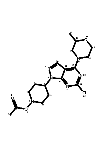 CC(=O)ON1CCC(n2ncc3c(N4CCOC(C)C4)nc(Cl)nc32)CC1